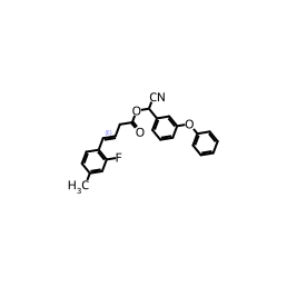 Cc1ccc(/C=C/CC(=O)OC(C#N)c2cccc(Oc3ccccc3)c2)c(F)c1